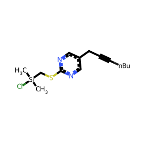 CCCCC#CCc1cnc(SC[Si](C)(C)Cl)nc1